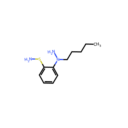 CCCCCN(N)c1ccccc1SN